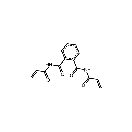 C=CC(=O)NC(=O)c1ccccc1C(=O)NC(=O)C=C